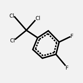 Fc1ccc(C(Cl)(Cl)Cl)cc1F